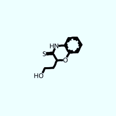 OCCC1Oc2ccccc2NC1=S